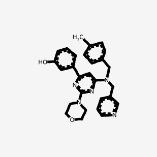 Cc1ccc(CN(Cc2cccnc2)c2cc(-c3cccc(O)c3)nc(N3CCOCC3)n2)cc1